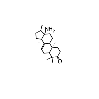 C[C@@H]1CC[C@]2(C)C3=CCC4C(C)(C)C(=O)CC[C@]4(C)C3CC[C@@]12N